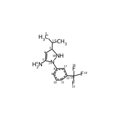 CC(C)C1C=C(N)N(c2cccc(C(F)(F)F)c2)N1